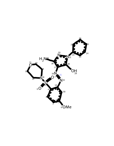 COc1ccc(S(=O)(=O)N2CCOCC2)c(/N=N/c2c(N)nn(-c3ccccc3)c2O)c1